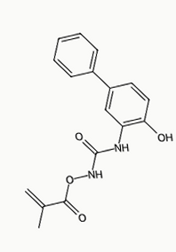 C=C(C)C(=O)ONC(=O)Nc1cc(-c2ccccc2)ccc1O